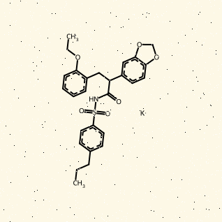 CCCc1ccc(S(=O)(=O)NC(=O)C(Cc2ccccc2OCC)c2ccc3c(c2)OCO3)cc1.[K]